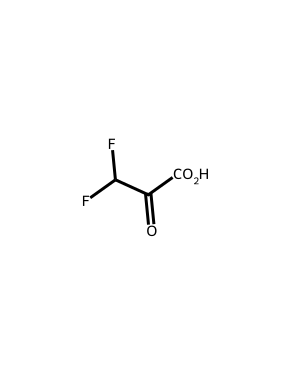 O=C(O)C(=O)C(F)F